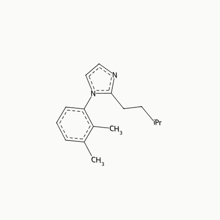 Cc1cccc(-n2ccnc2CCC(C)C)c1C